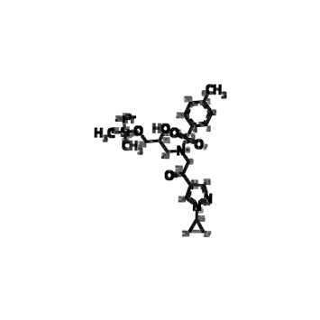 Cc1ccc(S(=O)(=O)N(CC(=O)c2cnn(C3CC3)c2)CC(O)CO[Si](C)(C)C(C)C)cc1